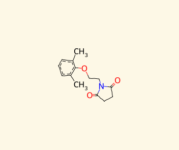 Cc1cccc(C)c1OCCN1C(=O)CCC1=O